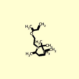 C=C/C=C\C(=C)N(CCOC(=C)C=C)C(C)(C)C